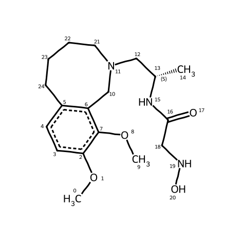 COc1ccc2c(c1OC)CN(C[C@H](C)NC(=O)CNO)CCCC2